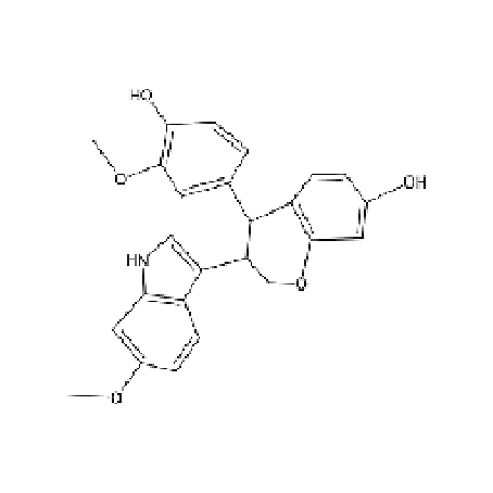 COc1ccc2c(C3COc4cc(O)ccc4C3c3ccc(O)c(OC)c3)c[nH]c2c1